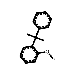 [CH]Oc1ccccc1C(C)(C)c1ccccc1